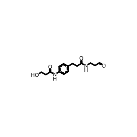 O=CCCNC(=O)CCc1ccc(NC(=O)CCO)cc1